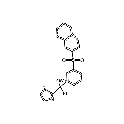 CCC(OC)(c1cccc(S(=O)(=O)c2ccc3ccccc3c2)c1)c1nccs1